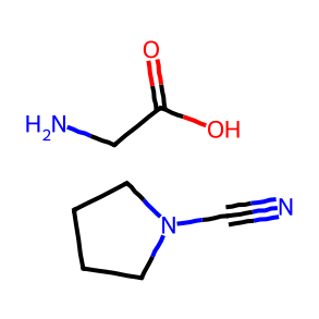 N#CN1CCCC1.NCC(=O)O